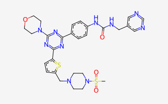 CS(=O)(=O)N1CCN(Cc2ccc(-c3nc(-c4ccc(NC(=O)NCc5cncnc5)cc4)nc(N4CCOCC4)n3)s2)CC1